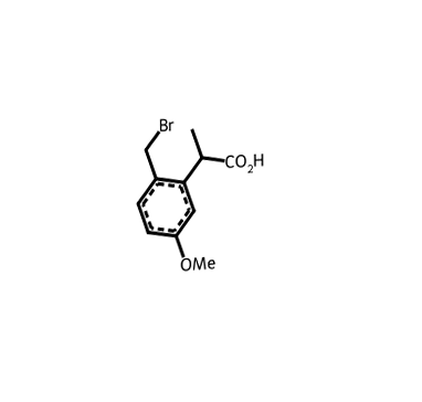 COc1ccc(CBr)c(C(C)C(=O)O)c1